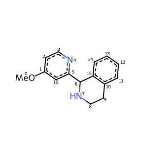 COc1ccnc(C2NCCc3ccccc32)c1